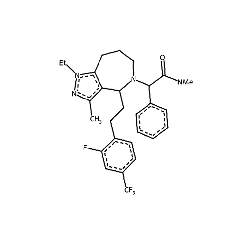 CCn1nc(C)c2c1CCCN(C(C(=O)NC)c1ccccc1)C2CCc1ccc(C(F)(F)F)cc1F